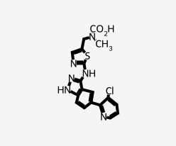 CN(Cc1cnc(Nc2n[nH]c3ccc(-c4ncccc4Cl)cc23)s1)C(=O)O